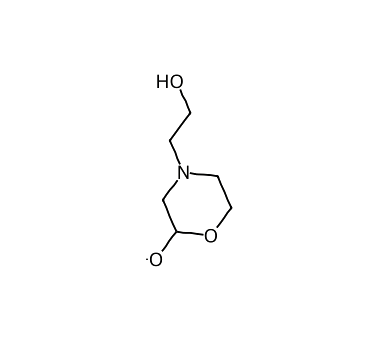 [O]C1CN(CCO)CCO1